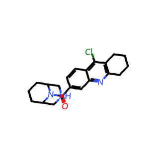 O=C(c1ccc2c(Cl)c3c(nc2c1)CCCC3)N1C2CCCC1CNC2